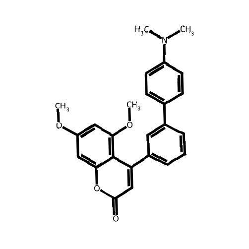 COc1cc(OC)c2c(-c3cccc(-c4ccc(N(C)C)cc4)c3)cc(=O)oc2c1